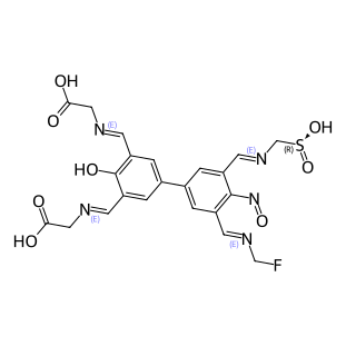 O=Nc1c(/C=N/CF)cc(-c2cc(/C=N/CC(=O)O)c(O)c(/C=N/CC(=O)O)c2)cc1/C=N/C[S@](=O)O